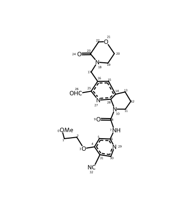 COCCOc1cc(NC(=O)N2CCCc3cc(CN4CCOCC4=O)c(C=O)nc32)ncc1C#N